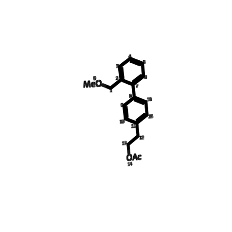 COCc1ccccc1-c1ccc(CCOC(C)=O)cc1